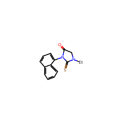 CCN1CC(=O)N(c2cccc3ccccc23)C1=S